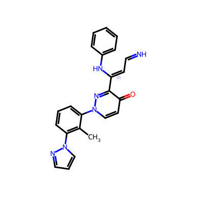 Cc1c(-n2cccn2)cccc1-n1ccc(=O)c(/C(=C/C=N)Nc2ccccc2)n1